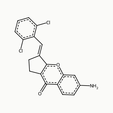 Nc1ccc2c(=O)c3c(oc2c1)C(=Cc1c(Cl)cccc1Cl)CC3